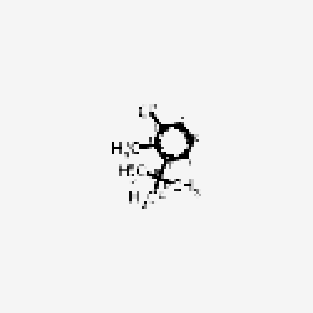 Cc1c(Cl)cccc1C(C)(C)C